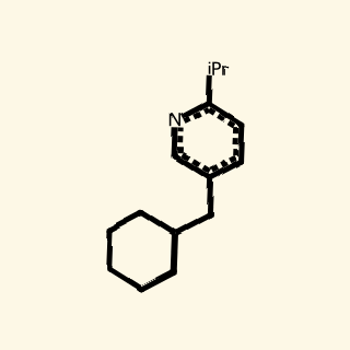 CC(C)c1ccc(CC2CCCCC2)cn1